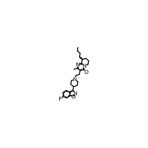 CCC/C=C1\CCCn2c1nc(C)c(CCN1CCC(c3noc4cc(F)ccc34)CC1)c2=O